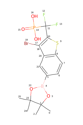 CC1(C)OB(c2ccc3sc(C(F)(F)P(=O)(O)O)c(Br)c3c2)OC1(C)C